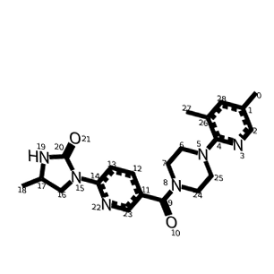 Cc1cnc(N2CCN(C(=O)c3ccc(N4CC(C)NC4=O)nc3)CC2)c(C)c1